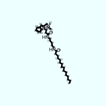 CCCCCCCCCCCCCCCC(=O)NCCCCCNC(=O)CCn1c(CN(C)NC)cc2ccccc21